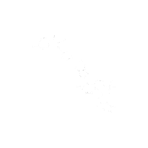 COc1c(N(C(=O)O)c2nc3ccc(-c4ccc(NC(=O)[C@H](C)c5ccc(F)cc5)cc4)cn3n2)ccc(S(C)(=O)=O)c1COP(=O)(OC(C)(C)C)OC(C)(C)C